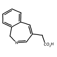 O=C(O)CC1=Cc2ccccc2CN=C1